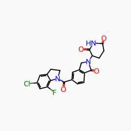 O=C1CCC(N2Cc3cc(C(=O)N4CCc5cc(Cl)cc(F)c54)ccc3C2=O)C(=O)N1